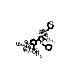 Cc1c(S(=O)(=O)NCC2CCOCC2)cc(-c2ccc(S(=O)(=O)NC(C)(C)C)c(C(C)(C)O)c2)n1CC1CCCCC1